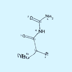 CCCCC(C(=O)NC(N)=O)C(C)C